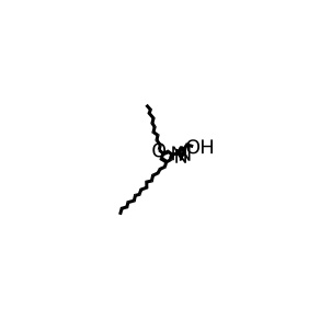 CCCCCCCCCCCCCCCc1cc(OCCCCCCCCCC)cc(-n2cc(CO)nn2)c1